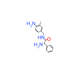 Cc1cc(CNC(=O)C(N)c2ccccc2)ccc1N